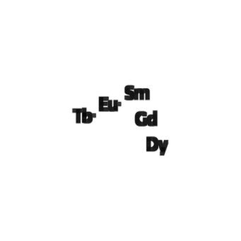 [Dy].[Eu].[Gd].[Sm].[Tb]